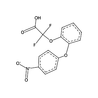 O=C(O)C(F)(F)Oc1ccccc1Oc1ccc([N+](=O)[O-])cc1